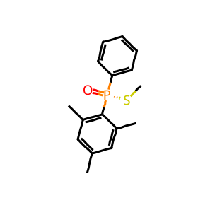 CS[P@](=O)(c1ccccc1)c1c(C)cc(C)cc1C